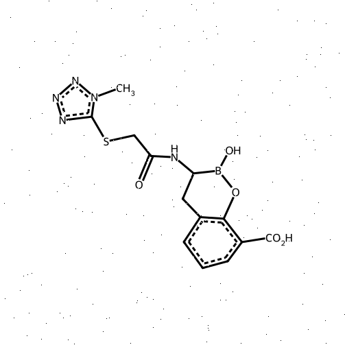 Cn1nnnc1SCC(=O)NC1Cc2cccc(C(=O)O)c2OB1O